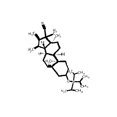 C=C1C(=C)C(C)(C#N)[C@@]2(C)CC[C@@H]3[C@@H](CC=C4CC(O[Si](C(C)C)(C(C)C)C(C)C)CC[C@@]43C)[C@H]12